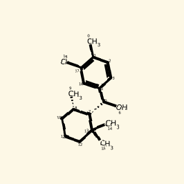 Cc1ccc(C(O)[C@H]2[C@@H](C)CCCC2(C)C)cc1Cl